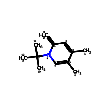 C=C1C=C(C)C(C)=CN1C(C)(C)C